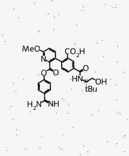 COc1ccc(-c2ccc(C(=O)N[C@H](CO)C(C)(C)C)cc2C(=O)O)c(C(=O)Oc2ccc(C(=N)N)cc2)n1